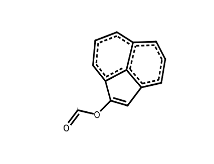 O=[C]OC1=Cc2cccc3cccc1c23